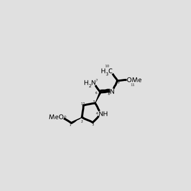 COC[C@@H]1CN[C@H](/C(N)=N/C(C)OC)C1